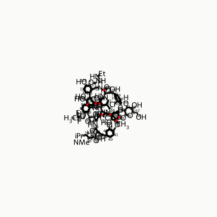 CCNNC(=O)[C@@H]1NC(=O)[C@H]2NC(=O)[C@H](NC(=O)[C@@H]3NC(=O)[C@H](CC(N)=O)NC(=O)[C@H](NC(=O)[C@@H](CC(C)C)NC)[C@H](O)c4ccc(c(Cl)c4)Oc4cc3cc(c4O[C@@H]3O[C@H](CO)[C@@H](O)[C@H](O)[C@H]3O[C@H]3C[C@](C)(NCc4cncc(C(=O)Nc5cccc(OC(C)(F)F)c5)c4)[C@H](O)[C@H](C)O3)Oc3ccc(cc3Cl)[C@H]2O)c2ccc(O)c(c2)-c2c(O)cc(O)cc21